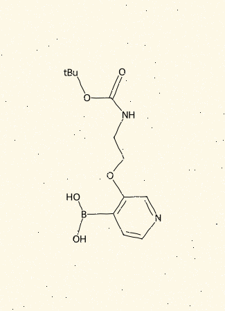 CC(C)(C)OC(=O)NCCOc1cnccc1B(O)O